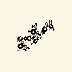 CCN(Cc1cc(F)ccc1Oc1n[n+](N2CC[C@H](OC)[C@H]2C(=O)N2CCC3(CC2)CN(c2ncnnc2Oc2ccc(F)cc2C(=O)N(CC)C(C)C)C3)cnc1N1CC2(CCN(C(=O)[C@H]3NC[C@H](F)[C@@H]3C)CC2)C1)C(C)C